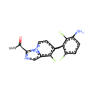 CNC(=O)c1ncc2c(F)c(-c3c(F)ccc(N)c3F)ccn12